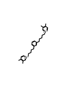 Cc1cc[n+](CCCCCc2cccc(CCCCC[n+]3ccc(C)c(C)c3)c2)cc1C